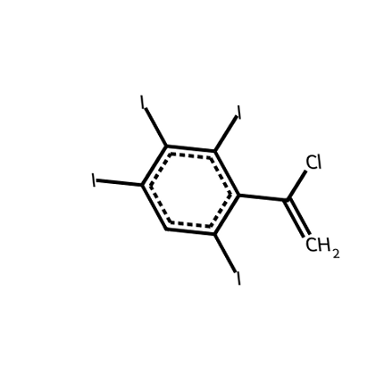 C=C(Cl)c1c(I)cc(I)c(I)c1I